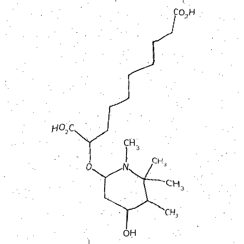 CC1C(O)CC(OC(CCCCCCCC(=O)O)C(=O)O)N(C)C1(C)C